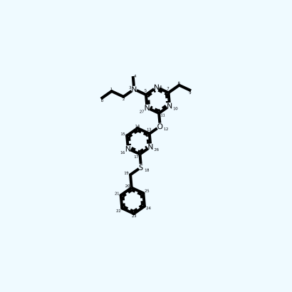 CCCN(C)c1nc(CC)nc(Oc2ccnc(SCc3ccccc3)n2)n1